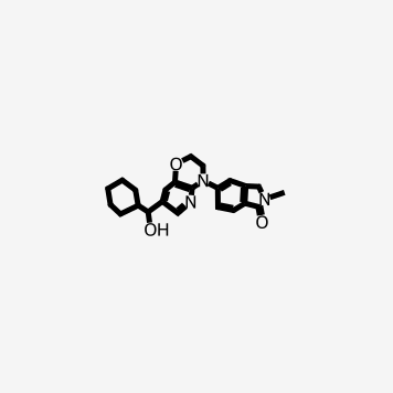 CN1Cc2cc(N3CCOc4cc(C(O)C5CCCCC5)cnc43)ccc2C1=O